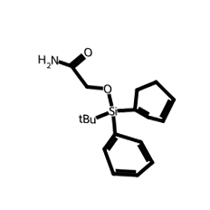 CC(C)(C)[Si](OCC(N)=O)(C1=CC=CCC1)c1ccccc1